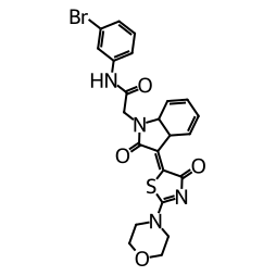 O=C(CN1C(=O)/C(=C2\SC(N3CCOCC3)=NC2=O)C2C=CC=CC21)Nc1cccc(Br)c1